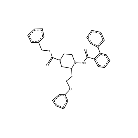 O=C(NN1CCN(C(=O)OCc2ccccc2)CC1CCOc1ccccc1)c1ccccc1-c1ccccc1